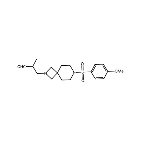 COc1ccc(S(=O)(=O)N2CCC3(CC2)CN(CC(C)C=O)C3)cc1